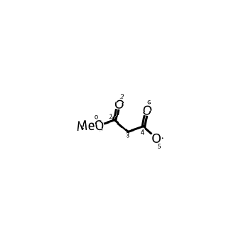 COC(=O)CC([O])=O